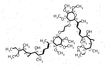 CC[C@H](OC)[C@@H](C)[C@H]1CC1[C@H](O)[C@@H](C)/C=C/C=C(\C)[C@@H]1O[C@H](OC)[C@H](OC)[C@@H](OC)[C@H]1OCCO[C@H]1O[C@@H](/C(C)=C/C=C/[C@H](C)[C@@H](O)C2C[C@@H]2[C@H](C)[C@H](CC)OC)[C@@H](OC)[C@H](OC)[C@@H]1OC